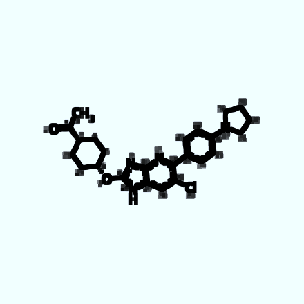 CC(=O)[C@H]1CC[C@H](Oc2nc3nc(-c4ccc(N5CCCC5)cc4)c(Cl)cc3[nH]2)CC1